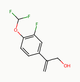 C=C(CO)c1ccc(OC(F)F)c(F)c1